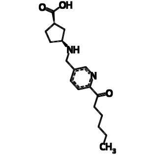 CCCCCC(=O)c1ccc(CN[C@H]2CC[C@@H](C(=O)O)C2)cn1